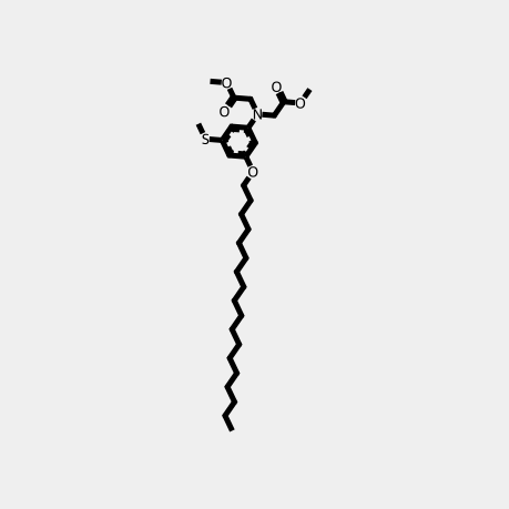 CCCCCCCCCCCCCCCCCCOc1cc(SC)cc(N(CC(=O)OC)CC(=O)OC)c1